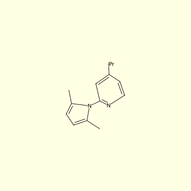 [CH2]C(C)c1ccnc(-n2c(C)ccc2C)c1